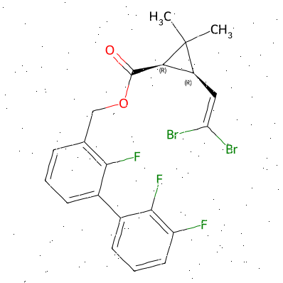 CC1(C)[C@H](C(=O)OCc2cccc(-c3cccc(F)c3F)c2F)[C@@H]1C=C(Br)Br